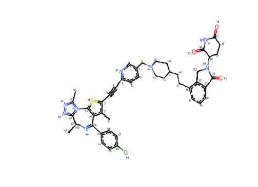 Cc1c(C#Cc2ccc(CN3CCC(CCc4cccc5c4CN(C4CCC(=O)NC4=O)C5=O)CC3)cn2)sc2c1C(c1ccc(Cl)cc1)=N[C@@H](C)c1nnc(C)n1-2